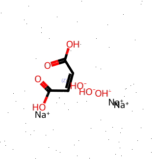 O=C(O)/C=C\C(=O)O.[Na+].[Na+].[Na+].[OH-].[OH-].[OH-]